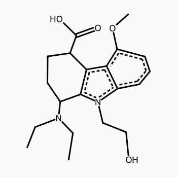 CCN(CC)C1CCC(C(=O)O)c2c1n(CCO)c1cccc(OC)c21